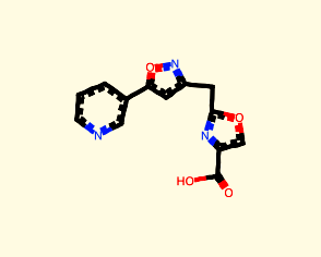 O=C(O)c1coc(Cc2cc(-c3cccnc3)on2)n1